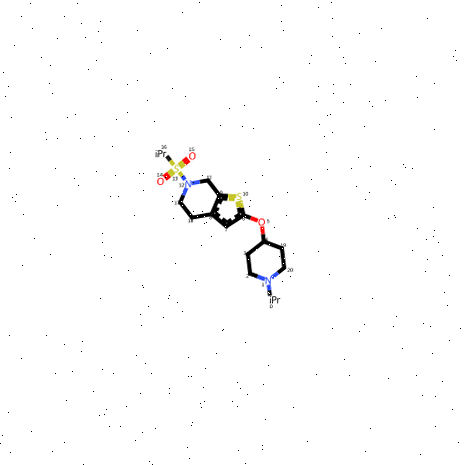 CC(C)N1CCC(Oc2cc3c(s2)CN(S(=O)(=O)C(C)C)CC3)CC1